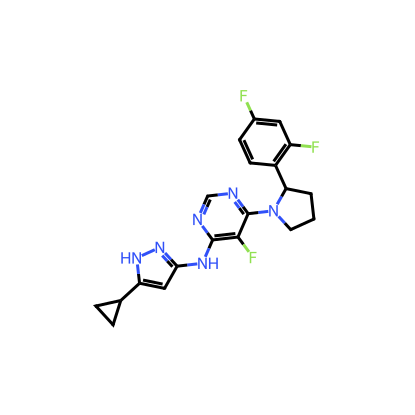 Fc1ccc(C2CCCN2c2ncnc(Nc3cc(C4CC4)[nH]n3)c2F)c(F)c1